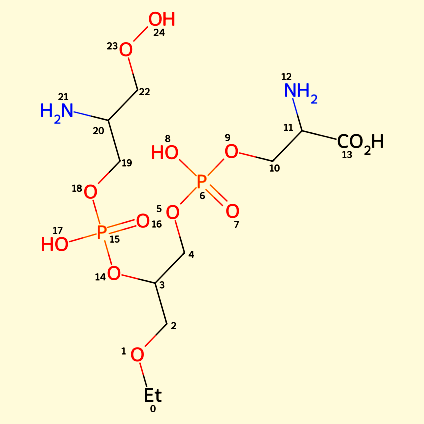 CCOCC(COP(=O)(O)OCC(N)C(=O)O)OP(=O)(O)OCC(N)COO